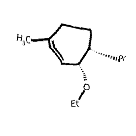 CCO[C@@H]1C=C(C)CC[C@@H]1C(C)C